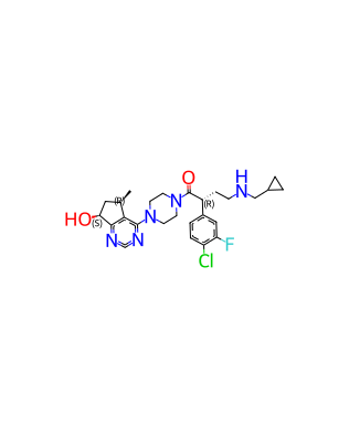 C[C@@H]1C[C@H](O)c2ncnc(N3CCN(C(=O)[C@H](CCNCC4CC4)c4ccc(Cl)c(F)c4)CC3)c21